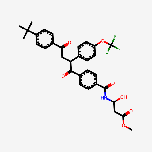 COC(=O)CC(O)NC(=O)c1ccc(C(=O)C(CC(=O)c2ccc(C(C)(C)C)cc2)c2ccc(OC(F)(F)F)cc2)cc1